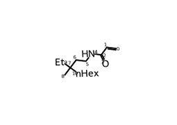 C=CC(=O)NCCC(C)(CC)CCCCCC